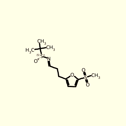 CC(C)(C)[S@@+]([O-])N=CCCc1ccc(S(C)(=O)=O)o1